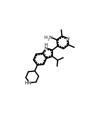 Cc1cc(-c2[nH]c3ccc(C4CCNCC4)cc3c2C(C)C)c(N)c(C)n1